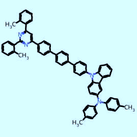 Cc1ccc(N(c2ccc(C)cc2)c2ccc3c(c2)c2ccccc2n3-c2ccc(-c3ccc(-c4ccc(-c5cc(-c6ccccc6C)nc(-c6ccccc6C)n5)cc4)cc3)cc2)cc1